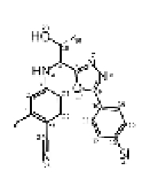 Cc1cc(NC(c2nnc(-c3ccc(S)cc3)o2)[C@@H](C)O)ccc1C#N